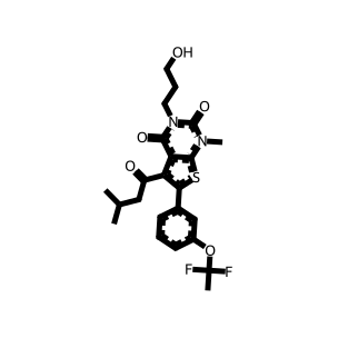 CC(C)CC(=O)c1c(-c2cccc(OC(C)(F)F)c2)sc2c1c(=O)n(CCCO)c(=O)n2C